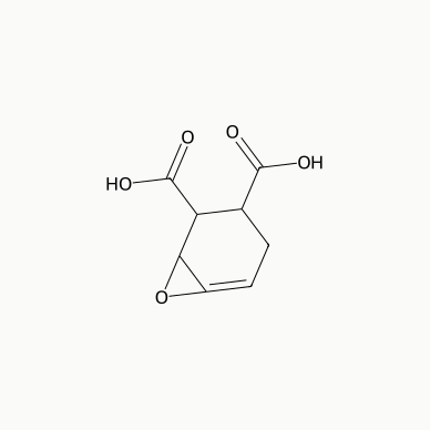 O=C(O)C1CC=C2OC2C1C(=O)O